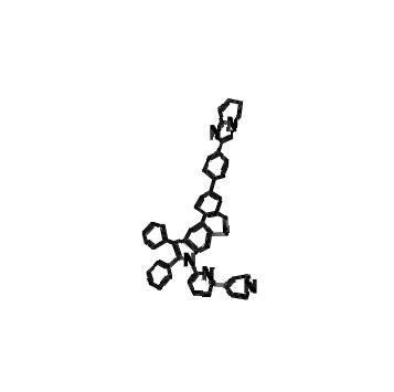 c1ccc(-c2c(-c3ccccc3)n(-c3cccc(-c4ccncc4)n3)c3cc4ccc5cc(-c6ccc(-c7cn8ccccc8n7)cc6)ccc5c4cc23)cc1